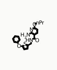 CCCOc1ccc(C(=O)NCc2ccc(Oc3ccccc3)s2)c(N)n1